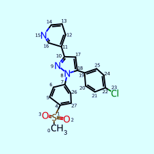 CS(=O)(=O)c1ccc(-n2nc(-c3cccnc3)cc2-c2ccc(Cl)cc2)cc1